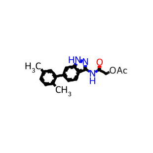 CC(=O)OCC(=O)Nc1n[nH]c2cc(-c3cc(C)ccc3C)ccc12